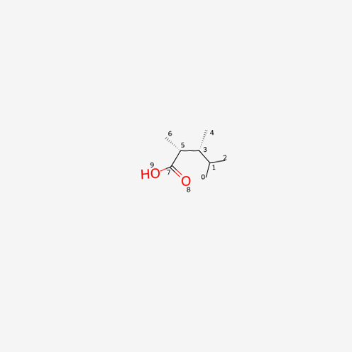 CC(C)[C@@H](C)[C@@H](C)C(=O)O